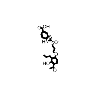 CCCc1c(OCCC[S+]([O-])c2nc3cc(C(=O)O)ccc3[nH]2)ccc(C(C)=O)c1O